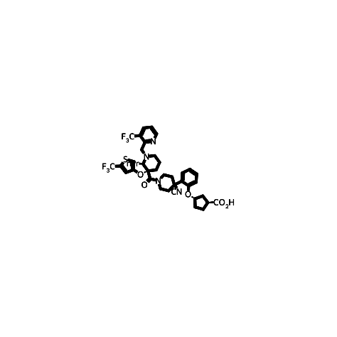 CCC[C@H]1N(Cc2ncccc2C(F)(F)F)CCC[C@@]1(Oc1csc(C(F)(F)F)c1)C(=O)N1CCC(C#N)(c2ccccc2O[C@H]2CC[C@H](C(=O)O)C2)CC1